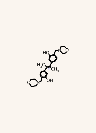 C/C(=C(/C)c1ccc(CN2CCOCC2)c(O)c1)c1ccc(CN2CCOCC2)c(O)c1